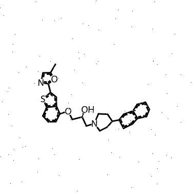 Cc1cnc(-c2cc3c(OC[C@@H](O)CN4CCC(c5ccc6ccccc6c5)CC4)cccc3s2)o1